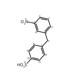 O=[N+]([O-])c1cccc(Cc2ccc(S(=O)(=O)O)cc2)c1